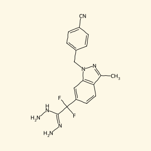 Cc1nn(Cc2ccc(C#N)cc2)c2cc(C(F)(F)/C(=N/N)NN)ccc12